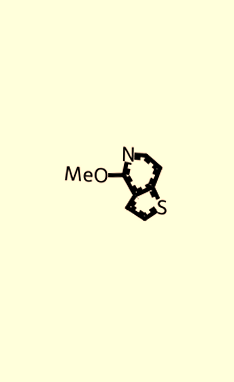 COc1nccc2sccc12